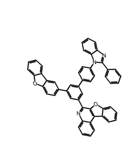 c1ccc(-c2nc3ccccc3n2-c2ccc(-c3cc(-c4ccc5oc6ccccc6c5c4)cc(-c4nc5ccccc5c5c4oc4ccccc45)c3)cc2)cc1